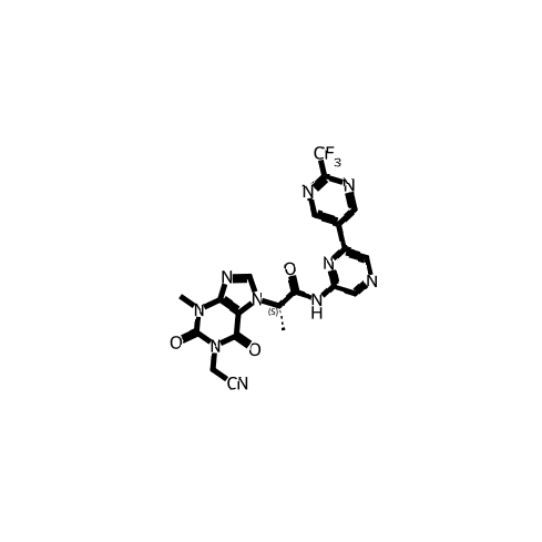 C[C@@H](C(=O)Nc1cncc(-c2cnc(C(F)(F)F)nc2)n1)n1cnc2c1c(=O)n(CC#N)c(=O)n2C